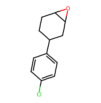 Clc1ccc(C2CCC3OC3C2)cc1